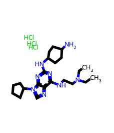 CCN(CC)CCNc1nc(NC2CCC(N)CC2)nc2c1ncn2C1CCCC1.Cl.Cl.Cl